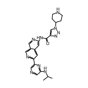 CC(C)Nc1cncc(-c2cc3cc(NC(=O)c4cn(C5CCNCC5)nn4)ncc3cn2)n1